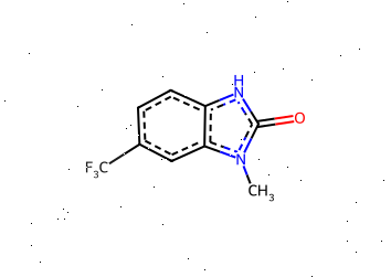 Cn1c(=O)[nH]c2ccc(C(F)(F)F)cc21